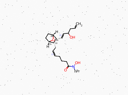 C=CCC(O)/C=C/[C@@H]1[C@H](C/C=C\CCCC(=O)N(O)CCC)[C@@H]2CC[C@H]1O2